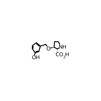 O=C(O)[C@H]1NCC[C@@H]1OCc1cccc(O)c1